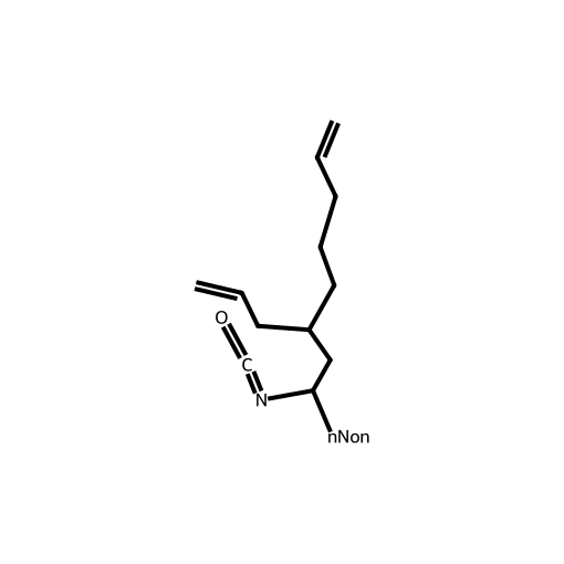 C=CCCCC(CC=C)CC(CCCCCCCCC)N=C=O